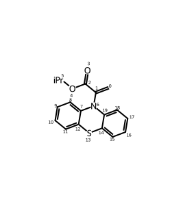 C=C(C(=O)OC(C)C)N1c2ccccc2Sc2ccccc21